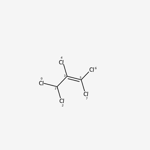 Cl[C](Cl)C(Cl)=C(Cl)Cl